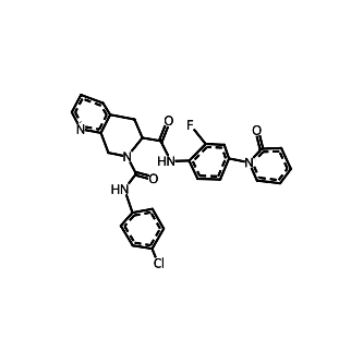 O=C(Nc1ccc(-n2ccccc2=O)cc1F)C1Cc2cccnc2CN1C(=O)Nc1ccc(Cl)cc1